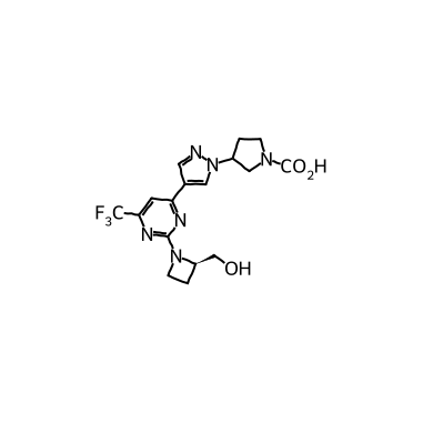 O=C(O)N1CCC(n2cc(-c3cc(C(F)(F)F)nc(N4CC[C@@H]4CO)n3)cn2)C1